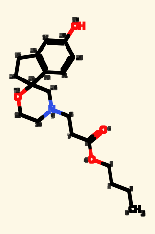 CCCCOC(=O)CCN1CCOC2(CCc3cc(O)ccc32)C1